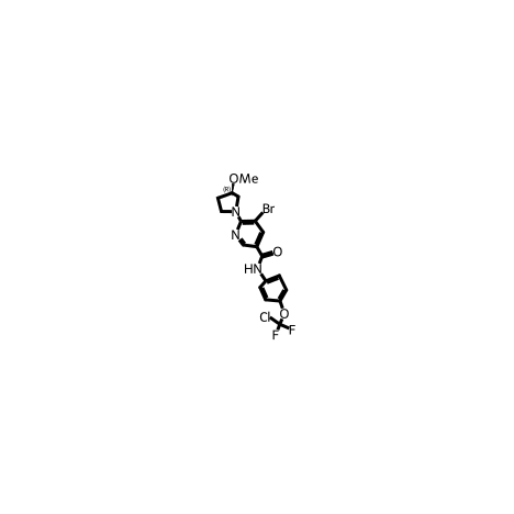 CO[C@@H]1CCN(c2ncc(C(=O)Nc3ccc(OC(F)(F)Cl)cc3)cc2Br)C1